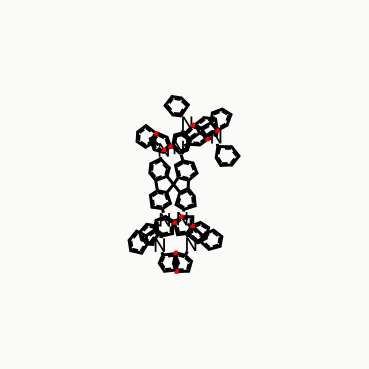 c1ccc(N(c2ccc3c(c2)C2(c4cc(N(c5ccccc5)c5ccc6c7ccccc7n(-c7ccccc7)c6c5)ccc4-3)c3cc(N(c4ccccc4)c4ccc5c6ccccc6n(-c6ccccc6)c5c4)ccc3-c3ccc(N(c4ccccc4)c4ccc5c6ccccc6n(-c6ccccc6)c5c4)cc32)c2ccc3c4ccccc4n(-c4ccccc4)c3c2)cc1